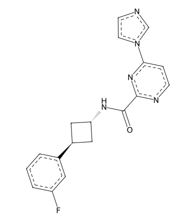 O=C(N[C@H]1C[C@H](c2cccc(F)c2)C1)c1nccc(-n2ccnc2)n1